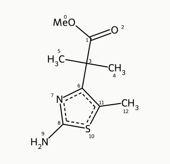 COC(=O)C(C)(C)c1nc(N)sc1C